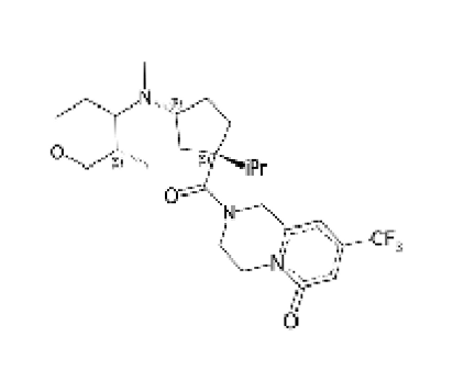 CC(C)[C@]1(C(=O)N2CCn3c(cc(C(F)(F)F)cc3=O)C2)CC[C@@H](N(C)C2CCOC[C@H]2C)C1